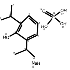 CC(C)c1cccc(C(C)C)c1O.O=P(O)(O)O.[NaH]